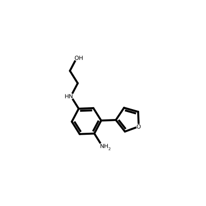 Nc1ccc(NCCO)cc1-c1ccoc1